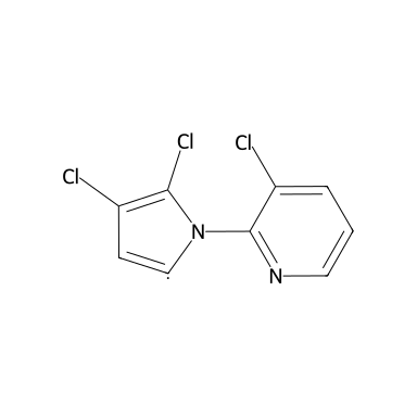 Clc1cccnc1-n1[c]cc(Cl)c1Cl